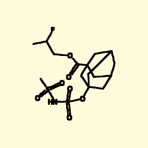 CC(F)COC(=O)C12CC3CC(CC(OS(=O)(=O)NS(C)(=O)=O)(C3)C1)C2